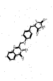 CCn1c(COc2ccc(CC3SC(=O)NC3=O)cc2)nc2ccccc2c1=O